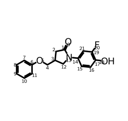 O=C1CC(COc2ccccc2)CN1c1ccc(O)c(F)c1